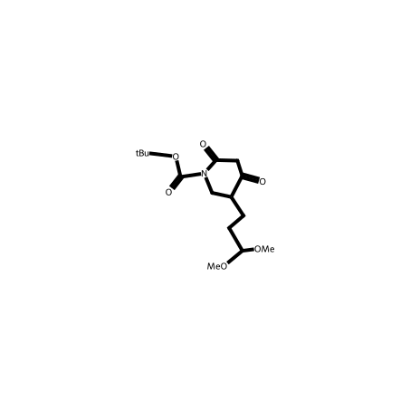 COC(CCC1CN(C(=O)OC(C)(C)C)C(=O)CC1=O)OC